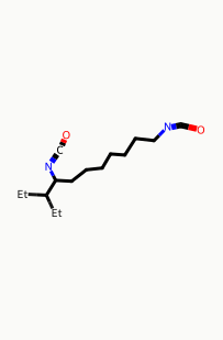 CCC(CC)C(CCCCCCCN=C=O)N=C=O